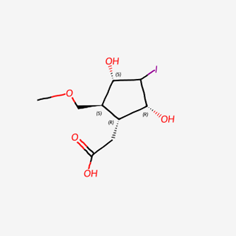 COC[C@@H]1[C@@H](CC(=O)O)[C@@H](O)C(I)[C@H]1O